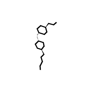 CCCCC[C@H]1CC[C@H](C[C@H]2CC[C@H](CCC)CC2)CC1